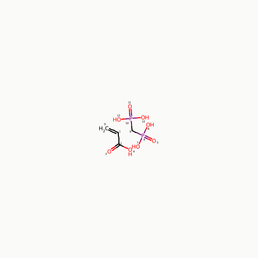 C=CC(=O)O.O=P(O)(O)CP(=O)(O)O